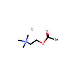 CCC(C)C(=O)OCC[N+](C)(C)C.[Cl-]